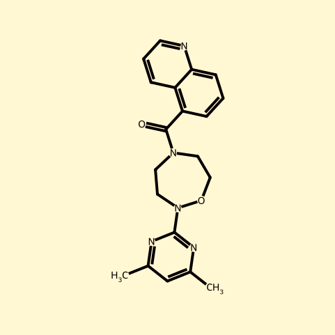 Cc1cc(C)nc(N2CCN(C(=O)c3cccc4ncccc34)CCO2)n1